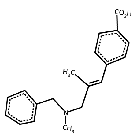 C/C(=C\c1ccc(C(=O)O)cc1)CN(C)Cc1ccccc1